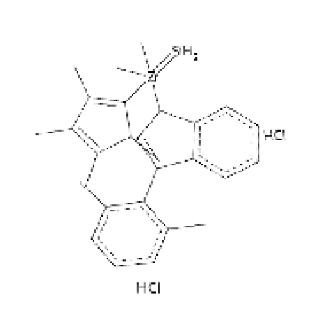 CC1=C(C)C(C)[C]([Zr]([CH3])([CH3])(=[SiH2])[CH]2C=C(c3c(C)cccc3C)c3ccccc32)=C1C.Cl.Cl